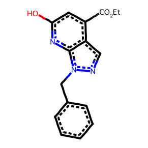 CCOC(=O)c1cc(O)nc2c1cnn2Cc1ccccc1